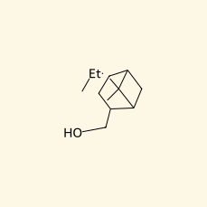 CC1(C)C2CCC(CO)C1C2.C[CH]C